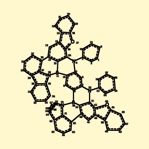 c1ccc(N2c3cc4c(cc3B3c5c(cc6c(oc7ccccc76)c52)-c2cccc5c6ccccc6n3c25)B2c3c(cc5c(oc6ccccc65)c3N4c3ccccc3)-c3cccc4c5ccccc5n2c34)cc1